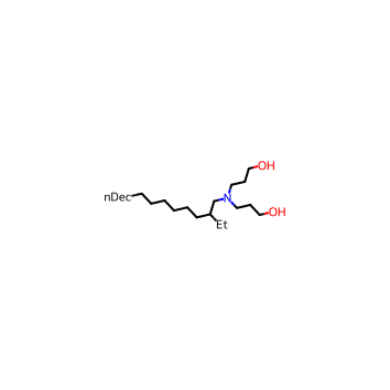 CCCCCCCCCCCCCCCCC(CC)CN(CCCO)CCCO